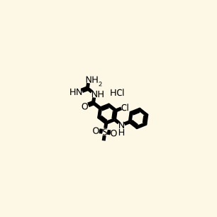 CS(=O)(=O)c1cc(C(=O)NC(=N)N)cc(Cl)c1Nc1ccccc1.Cl